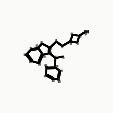 CC(C1=C(CCN2CC(O)C2)Cc2ccccc21)c1cnccn1